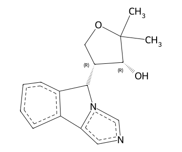 CC1(C)OC[C@@H](C2c3ccccc3-c3cncn32)[C@H]1O